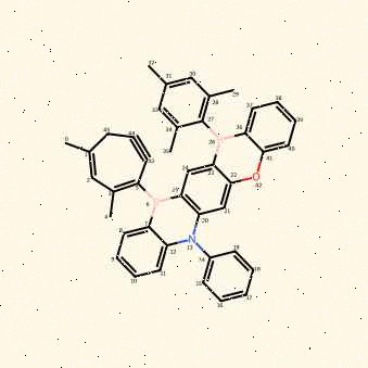 CC1=CC(C)=C(B2c3ccccc3N(c3ccccc3)c3cc4c(cc32)B(c2c(C)cc(C)cc2C)c2ccccc2O4)C#CC1